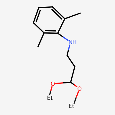 CCOC(CCNc1c(C)cccc1C)OCC